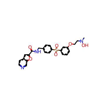 CN(O)CCOc1cccc(S(=O)(=O)c2ccc(CNC(=O)c3cc4ccncc4o3)cc2)c1